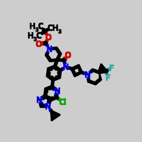 CC(C)(C)OC(=O)N1CCC2(CC1)C(=O)N(C1CC(N3CCC[C@@]4(C3)CC4(F)F)C1)c1cc(-c3cc4ncn(C5CC5)c4c(Cl)n3)ccc12